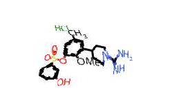 COc1c(OS(=O)(=O)c2cccc(O)c2)cc(C)cc1C1CCN(C(=N)N)CC1.Cl